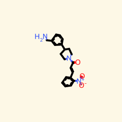 NCc1cccc(C2CCN(C(=O)C=Cc3ccccc3[N+](=O)[O-])CC2)c1